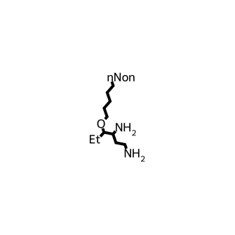 CCCCCCCCCCCCCCOC(CC)C(N)CCN